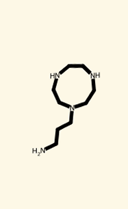 NCCCN1CCNCCNCC1